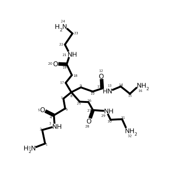 NCCNC(=O)CCC(CCC(=O)NCCN)(CCC(=O)NCCN)CCC(=O)NCCN